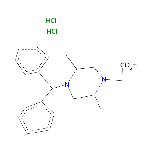 CC1CN(C(c2ccccc2)c2ccccc2)C(C)CN1CC(=O)O.Cl.Cl